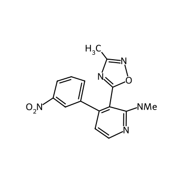 CNc1nccc(-c2cccc([N+](=O)[O-])c2)c1-c1nc(C)no1